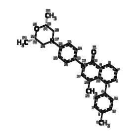 Cc1ccc(-c2cccc3c(=O)n(-c4ccc(N5C[C@@H](C)O[C@@H](C)C5)cc4)cc(C)c23)cc1